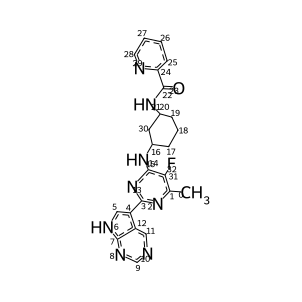 Cc1nc(-c2c[nH]c3ncncc23)nc(NC2CCCC(NC(=O)c3ccccn3)C2)c1F